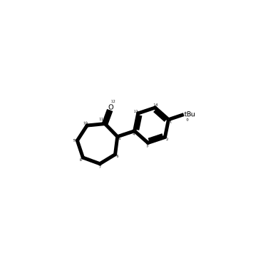 CC(C)(C)c1ccc(C2CCCCCC2=O)cc1